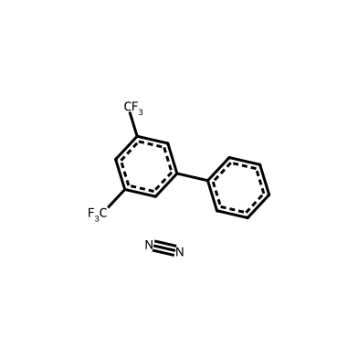 FC(F)(F)c1cc(-c2ccccc2)cc(C(F)(F)F)c1.N#N